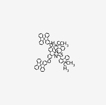 CC1(C)c2ccccc2-c2c(-c3sc(-c4cccc5c4-c4ccccc4C5(C)C)c4nc5c6cc(Oc7ccc8c(c7)-c7ccccc7C87c8ccccc8-c8ccccc87)ccc6c6ccc(Oc7ccc8c(c7)-c7ccccc7C87c8ccccc8-c8ccccc87)cc6c5nc34)cccc21